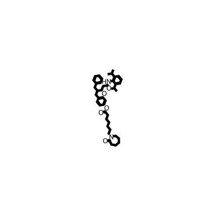 CC(C)c1cccc(C(C)C)c1NC(=O)CC(=O)C(Cc1ccccc1)Cc1ccc(OC(=O)CCCCCCN2CCCCCC2=O)cc1